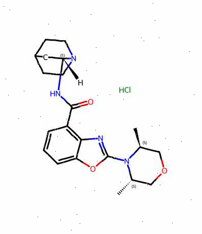 C[C@H]1COC[C@H](C)N1c1nc2c(C(=O)N[C@@H]3CC4CCN3CC4)cccc2o1.Cl